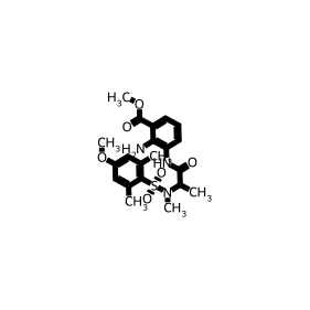 COC(=O)c1cccc(NC(=O)C(C)N(C)S(=O)(=O)c2c(C)cc(OC)cc2C)c1N